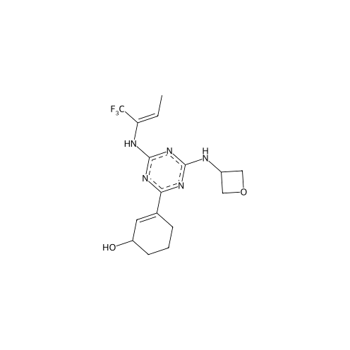 CC=C(Nc1nc(NC2COC2)nc(C2=CC(O)CCC2)n1)C(F)(F)F